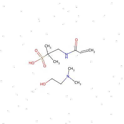 C=CC(=O)NCC(C)(C)S(=O)(=O)O.CN(C)CCO